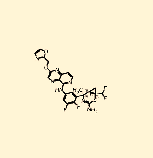 C[C@@]1(c2cc(Nc3nccc4nc(OCc5ncco5)cnc34)cc(F)c2F)N=C(N)S[C@@]2(C(F)F)C[C@@H]12